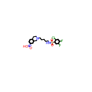 O=[N+](O)c1ccc2c(c1)CN(CCCCCNS(=O)(=O)c1cc(F)c(F)cc1Cl)CC2